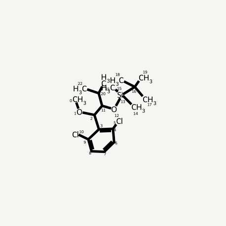 COC(c1c(Cl)cccc1Cl)C(O[Si](C)(C)C(C)(C)C)C(C)C